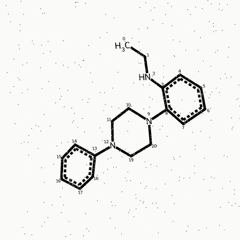 CCNc1ccccc1N1CCN(c2ccccc2)CC1